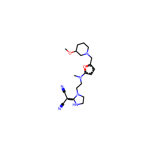 COC1CCCN(Cc2ccc(N(C)CCN3CCNC3=C(C#N)C#N)o2)C1